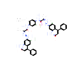 COc1cc(NC(=O)/C(=N\Nc2cc3[nH]c(=O)cc(-c4ccccc4)c3cc2Cl)C(C)=O)c(Cl)cc1NC(=O)/C(=N\Nc1cc2[nH]c(=O)cc(-c3ccccc3)c2cc1Cl)C(C)=O